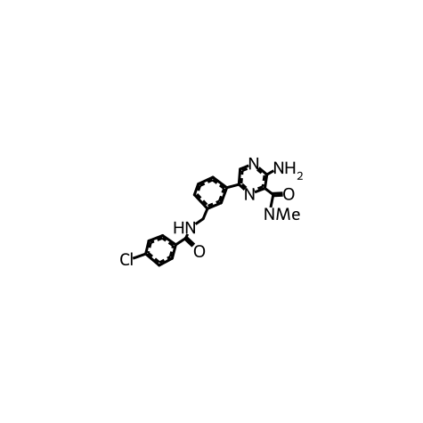 CNC(=O)c1nc(-c2cccc(CNC(=O)c3ccc(Cl)cc3)c2)cnc1N